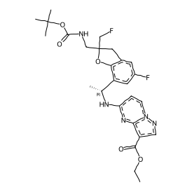 CCOC(=O)c1cnn2ccc(N[C@H](C)c3cc(F)cc4c3OC(CF)(CNC(=O)OC(C)(C)C)C4)nc12